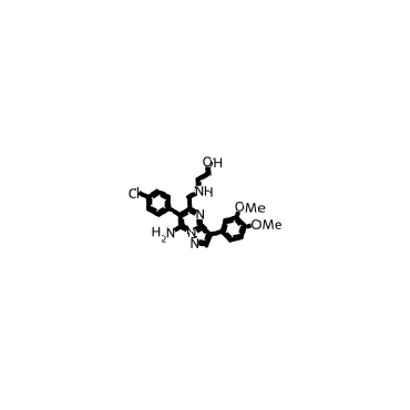 COc1ccc(-c2cnn3c(N)c(-c4ccc(Cl)cc4)c(CNCCO)nc23)cc1OC